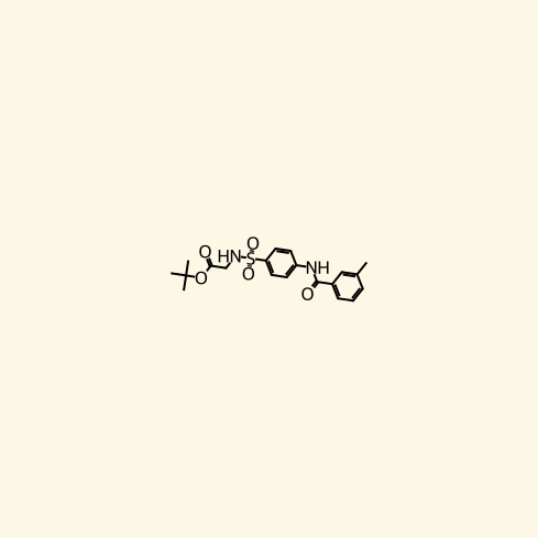 Cc1cccc(C(=O)Nc2ccc(S(=O)(=O)NCC(=O)OC(C)(C)C)cc2)c1